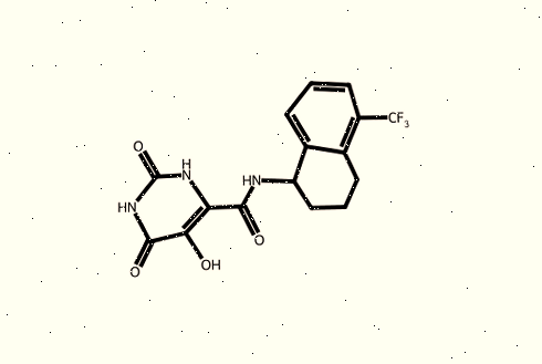 O=C(NC1CCCc2c1cccc2C(F)(F)F)c1[nH]c(=O)[nH]c(=O)c1O